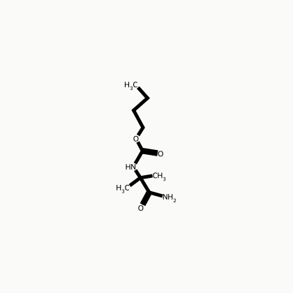 CCCCOC(=O)NC(C)(C)C(N)=O